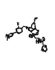 Cn1cc(-c2ccc(Cn3cc(S(=O)(=O)CCNC(=O)c4cnccn4)c4c(F)cc(F)cc43)c(F)c2)cn1